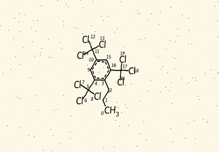 CC[CH]c1c(C(Cl)(Cl)Cl)cc(C(Cl)(Cl)Cl)cc1C(Cl)(Cl)Cl